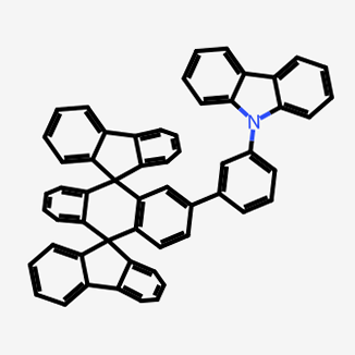 c1cc(-c2ccc3c(c2)C2(c4ccccc4-c4ccccc42)c2ccccc2C32c3ccccc3-c3ccccc32)cc(-n2c3ccccc3c3ccccc32)c1